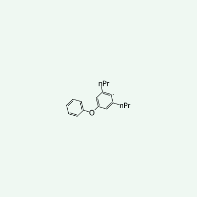 CCCc1[c]c(CCC)cc(Oc2ccccc2)c1